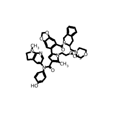 COCCn1c(-c2cc3c(cc2C(=O)N2Cc4ccccc4C[C@H]2CN2CCOCC2)OCO3)cc(C(=O)N(c2ccc(O)cc2)c2cnc3c(c2)CCN3C)c1C